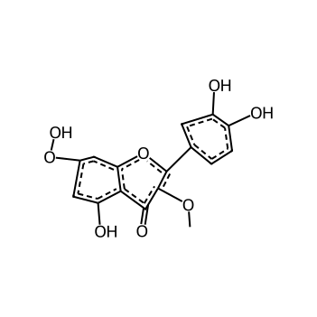 COc1c(-c2ccc(O)c(O)c2)oc2cc(OO)cc(O)c2c1=O